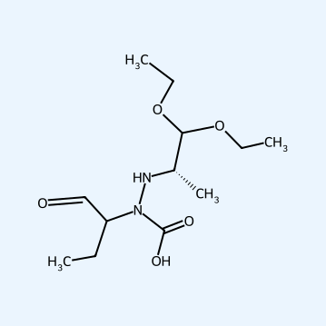 CCOC(OCC)[C@H](C)NN(C(=O)O)C(C=O)CC